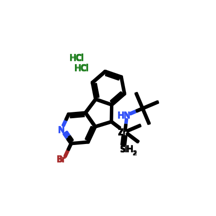 CC(C)(C)[NH][Zr]([CH3])([CH3])(=[SiH2])[CH]1c2ccccc2-c2cnc(Br)cc21.Cl.Cl